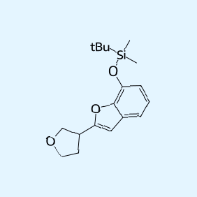 CC(C)(C)[Si](C)(C)Oc1cccc2cc(C3CCOC3)oc12